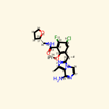 Cc1nc([C@@H](C)c2cc(Cl)c(F)c(C(=O)NC[C@@H]3CCCO3)c2OC(C)C)n2ccnc(N)c12